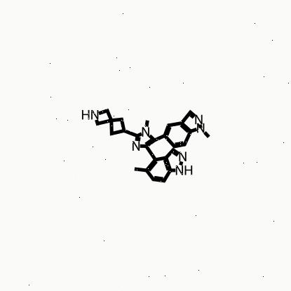 Cc1ccc2[nH]ncc2c1-c1nc(C2CC3(CNC3)C2)n(C)c1-c1ccc2c(cnn2C)c1